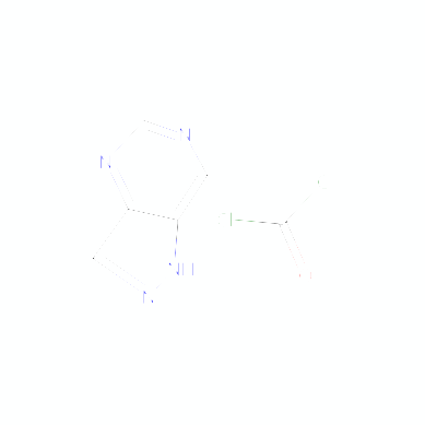 O=C(Cl)Cl.c1ncc2[nH]ncc2n1